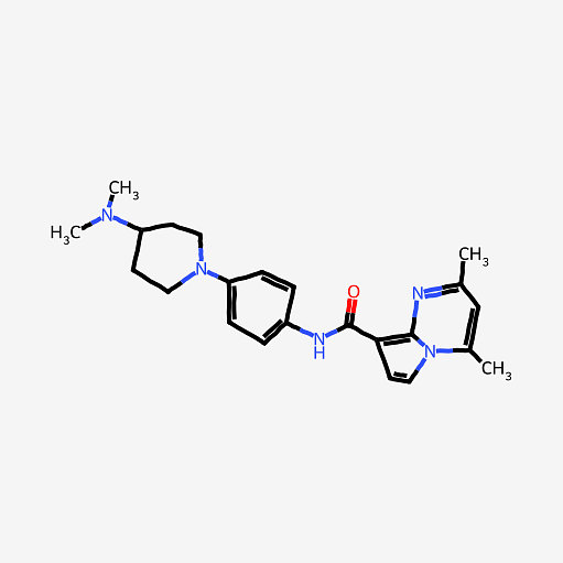 Cc1cc(C)n2ccc(C(=O)Nc3ccc(N4CCC(N(C)C)CC4)cc3)c2n1